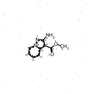 COC(=O)c1c(N)nn2ccccc12